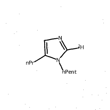 [2H]c1ncc(CCC)n1CCCCC